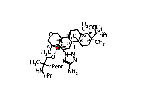 CCCCCC(C)(CO[C@H]1[C@H](n2nnc(N)n2)C[C@@]23COC[C@]1(C)[C@@H]2CC[C@H]1C3=CC[C@@]2(C)[C@H](C(=O)O)[C@@](C)([C@H](C)C(C)C)CC[C@]12C)NCCC